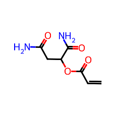 C=CC(=O)OC(CC(N)=O)C(N)=O